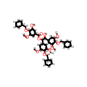 COc1cc(C(=O)OC(C(=O)c2cc(OC)c(OCc3ccccc3)c(OC)c2)c2cc(OC)c(OCc3ccccc3)c(OC)c2)cc(OC)c1OCc1ccccc1